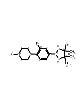 CC(C)(C)N1CCN(c2ccc(B3OC(C)(C)C(C)(C)O3)cc2F)CC1